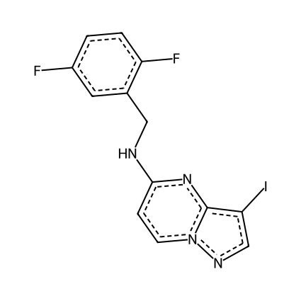 Fc1ccc(F)c(CNc2ccn3ncc(I)c3n2)c1